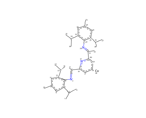 CC(=Nc1c(C(C)C)cc(C)cc1C(C)C)c1cccc(C(C)=Nc2c(C(C)C)cc(C)cc2C(C)C)n1.[Co]